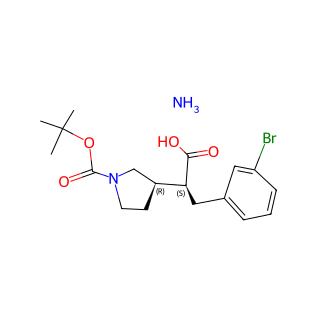 CC(C)(C)OC(=O)N1CC[C@H]([C@H](Cc2cccc(Br)c2)C(=O)O)C1.N